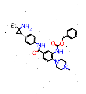 CC[C@]1(N)C[C@H]1c1ccc(NC(=O)c2ccc(N3CCN(C)CC3)c(NC(=O)OCc3ccccc3)c2)cc1